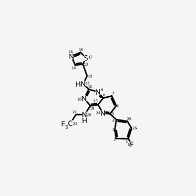 Fc1ccc(-c2ccc3nc(NCc4cncs4)nc(NCC(F)(F)F)c3n2)cc1